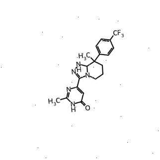 Cc1nc(C2=NNC3N2CCCC3(C)c2ccc(C(F)(F)F)cc2)cc(=O)[nH]1